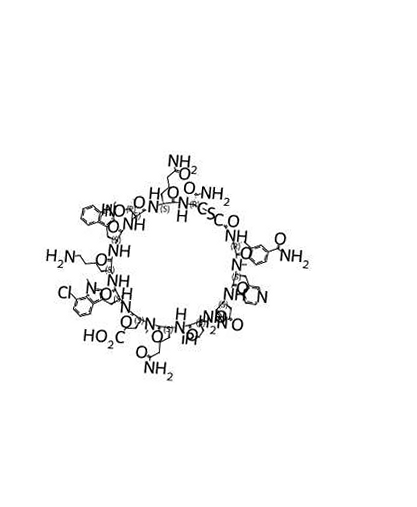 CC(C)C[C@@H]1NC(=O)[C@H](CC(N)=O)NC(=O)[C@H](Cc2cccnc2)N(C)C(=O)[C@@H](Cc2cccc(C(N)=O)c2)NC(=O)CSC[C@@H](C(N)=O)NC(=O)[C@H](CCCC(N)=O)NC(=O)[C@H]([C@@H](C)O)NC(=O)[C@H](Cc2cn(C)c3ccccc23)NC(=O)[C@H](CCCCN)NC(=O)[C@H](Cc2cn(C)c3c(Cl)cccc23)NC(=O)[C@H](CCC(=O)O)N(C)C(=O)[C@H](CCCC(N)=O)NC1=O